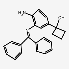 Nc1ccc(C2(O)CCC2)cc1N=C(c1ccccc1)c1ccccc1